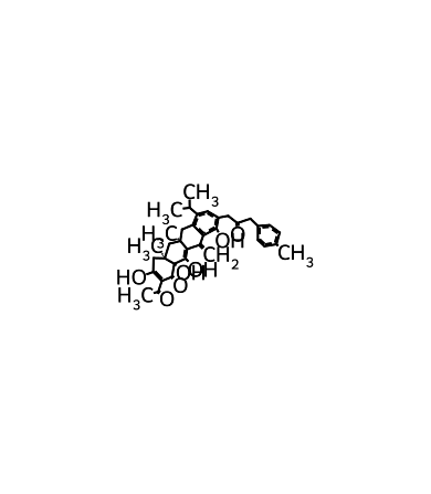 C=C1C2=C(O)[C@@]3(O)C(=O)C(C(C)=O)=C(O)C[C@@]3(C)C[C@@]2(C)Cc2c(C(C)C)cc(CC(=O)Cc3ccc(C)cc3)c(O)c21